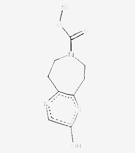 CC(C)(C)OC(=O)N1CCc2ncc(O)nc2CC1